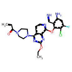 C=CC(=O)N1CCN(c2nc(OCC)nc3c(Oc4c(Cl)c(F)cc(N)c4C=N)nccc23)CC1